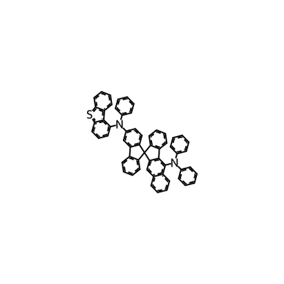 c1ccc(N(c2ccccc2)c2c3c(cc4ccccc24)C2(c4ccccc4-c4cc(N(c5ccccc5)c5cccc6sc7ccccc7c56)ccc42)c2ccccc2-3)cc1